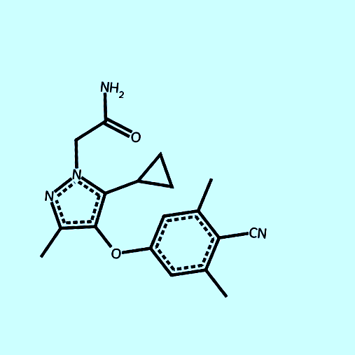 Cc1cc(Oc2c(C)nn(CC(N)=O)c2C2CC2)cc(C)c1C#N